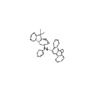 CC1(C)c2ccccc2-c2cc(N(c3ccccc3)c3cc4c5ccccc5oc4c4ccccc34)ccc21